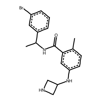 Cc1ccc(NC2CNC2)cc1C(=O)NC(C)c1cccc(Br)c1